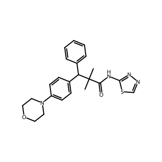 CC(C)(C(=O)Nc1nncs1)C(c1ccccc1)c1ccc(N2CCOCC2)cc1